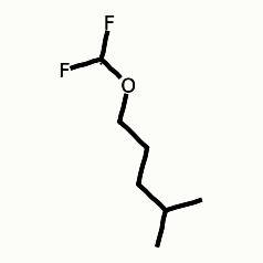 CC(C)CCCO[C](F)F